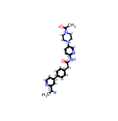 CC(=O)N1CCN(c2ccc(NC(=O)Cc3ccc(-c4ccnc(C(C)F)c4)cc3)nc2)CC1